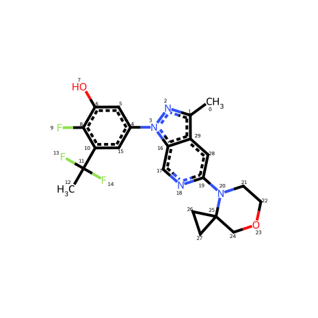 Cc1nn(-c2cc(O)c(F)c(C(C)(F)F)c2)c2cnc(N3CCOCC34CC4)cc12